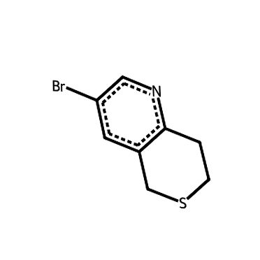 Brc1cnc2c(c1)CSCC2